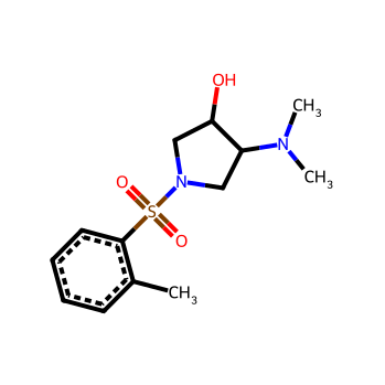 Cc1ccccc1S(=O)(=O)N1CC(O)C(N(C)C)C1